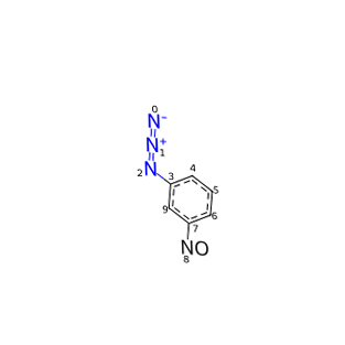 [N-]=[N+]=Nc1cccc(N=O)c1